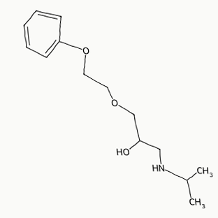 CC(C)NCC(O)COCCOc1ccccc1